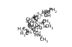 CCNCC(=O)CC(CC(CN(C)CC)Cn1cc(CCCC(=O)BBP)nn1)(OC(=O)CN(C)CC)OC(=O)CN(C)CC